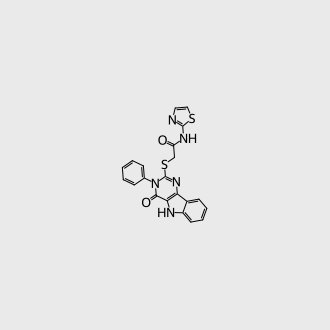 O=C(CSc1nc2c([nH]c3ccccc32)c(=O)n1-c1ccccc1)Nc1nccs1